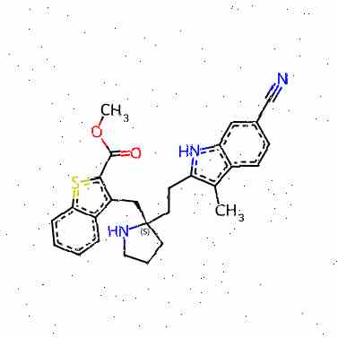 COC(=O)c1sc2ccccc2c1C[C@@]1(CCc2[nH]c3cc(C#N)ccc3c2C)CCCN1